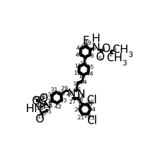 CC(C)OC(=O)Nc1cc(-c2ccc(C=Cc3nc(-c4ccc(Cl)cc4Cl)cn3Cc3ccc(N4CC(=O)NS4(=O)=O)cc3)cc2)ccc1F